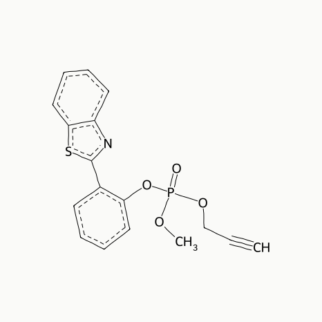 C#CCOP(=O)(OC)Oc1ccccc1-c1nc2ccccc2s1